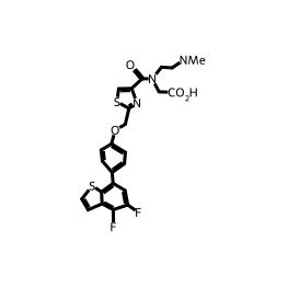 CNCCN(CC(=O)O)C(=O)c1csc(COc2ccc(-c3cc(F)c(F)c4ccsc34)cc2)n1